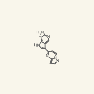 Nc1ncc2c(-c3ccn4nccc4n3)c[nH]c2n1